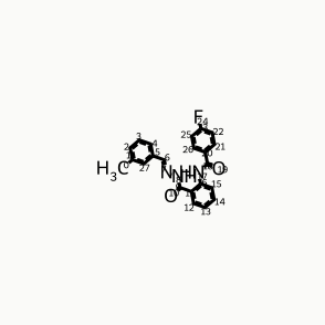 Cc1cccc(C=NNC(=O)c2ccccc2NC(=O)c2ccc(F)cc2)c1